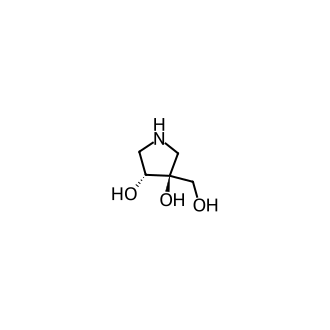 OC[C@@]1(O)CNC[C@H]1O